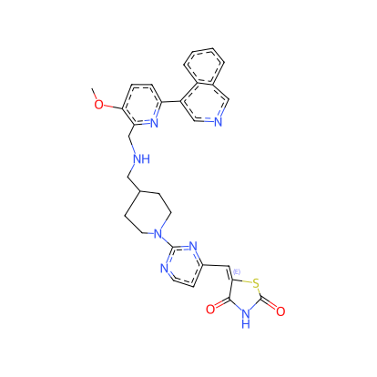 COc1ccc(-c2cncc3ccccc23)nc1CNCC1CCN(c2nccc(/C=C3/SC(=O)NC3=O)n2)CC1